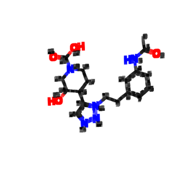 CC(=O)Nc1cccc(CCn2nncc2C2CCN(C(=O)O)CC2O)c1